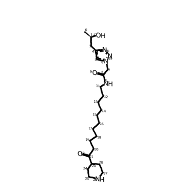 C[C@@H](O)Cc1cn(CC(=O)NCCCCCCCCCCC(=O)C2CCNCC2)nn1